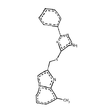 Cc1cccn2cc(CSc3nc(-c4ccccc4)n[nH]3)nc12